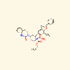 CCOC(=O)[N@+]1(C(=O)O)CCC(N2CCc3ccccc3NC2=O)CC1c1cc(C)c(OCc2ccccc2)c(C)c1